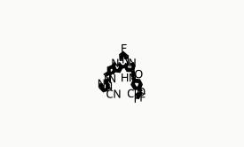 N#Cc1ccnc(-n2cc3c(n2)-c2cc(-c4cc(C(=O)Nc5ccc(OC(F)(F)Cl)cc5)cnc4N4CC[C@@H](F)C4)cnc2C3)n1